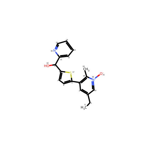 CCc1cc(-c2ccc(C(O)c3ccccn3)s2)c(C)[n+]([O-])c1